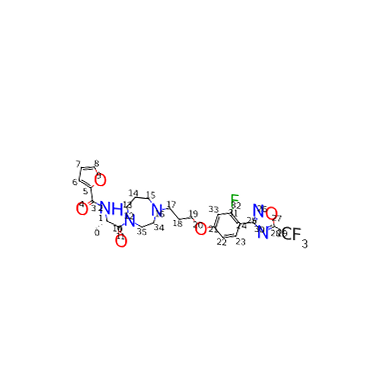 C[C@H](NC(=O)c1ccco1)C(=O)N1CCCN(CCCOc2ccc(-c3noc(C(F)(F)F)n3)c(F)c2)CC1